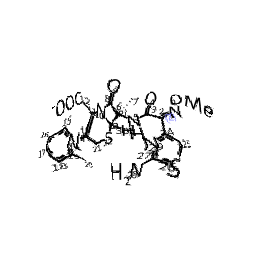 CO/N=C(\C(=O)N[C@]1(C)C(=O)N2C(C(=O)[O-])=C([n+]3ccccc3C)CS[C@H]21)c1csc(N)n1